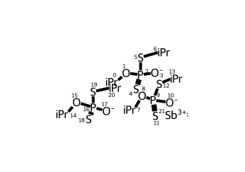 CC(C)OP([O-])(=S)SC(C)C.CC(C)OP([O-])(=S)SC(C)C.CC(C)OP([O-])(=S)SC(C)C.[Sb+3]